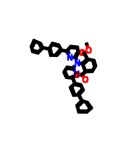 COC(=O)c1cccc(C(=O)OC)c1N(c1cccc(-c2ccc(-c3ccccc3)cc2)n1)c1cccc(-c2ccc(-c3ccccc3)cc2)n1